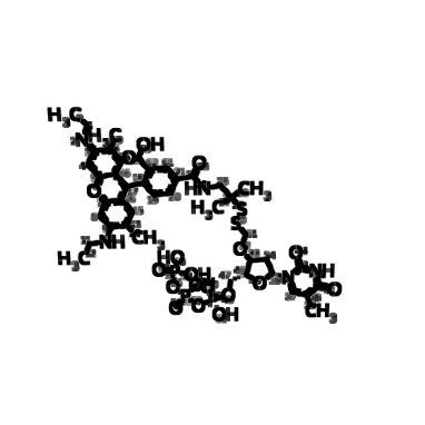 CC/N=c1/cc2oc3cc(NCC)c(C)cc3c(-c3ccc(C(=O)NCC(C)(C)SSCOC4C[C@H](n5cc(C)c(=O)[nH]c5=O)O[C@@H]4COP(=O)(O)OP(=O)(O)OP(=O)(O)O)cc3C(=O)O)c-2cc1C